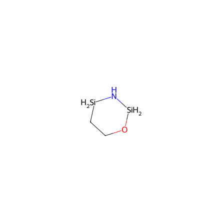 C1C[SiH2]N[SiH2]O1